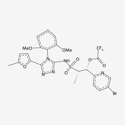 COc1cccc(OC)c1-n1c(NS(=O)(=O)[C@@H](C)[C@H](OC(=O)C(F)(F)F)c2ccc(Br)cn2)nnc1-c1ccc(C)o1